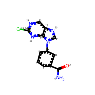 NC(=O)c1cccc(-n2cnc3cnc(Cl)nc32)c1